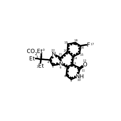 CCOC(=O)C(CC)(CC)c1cn2c3cc[nH]c(=O)c3c3cc(F)ccc3c2n1